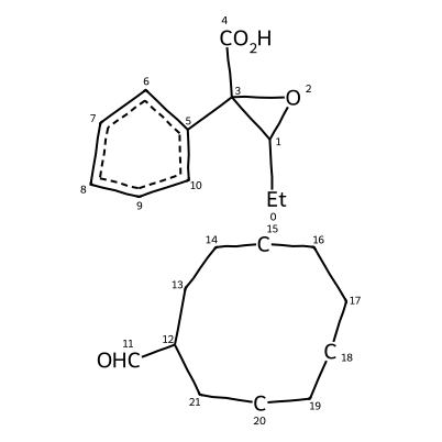 CCC1OC1(C(=O)O)c1ccccc1.O=CC1CCCCCCCCC1